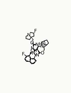 C#Cc1c(F)ccc2cccc(-c3nc4c5c(nc(OC[C@@]67CCCN6C[C@H](F)C7)nc5n3)N3CC5CCC(N5)C3CO4)c12